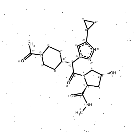 CNC(=O)[C@@H]1C[C@@H](O)CN1C(=O)[C@H](C1CCN(C(C)=O)CC1)n1cc(C2CC2)nn1